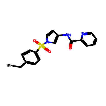 CC(C)Cc1ccc(S(=O)(=O)n2ccc(NC(=O)c3ccccn3)c2)cc1